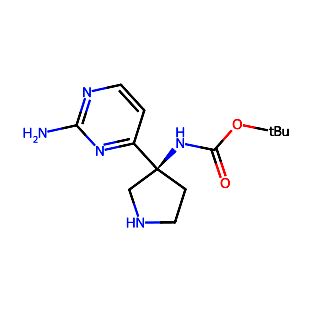 CC(C)(C)OC(=O)N[C@@]1(c2ccnc(N)n2)CCNC1